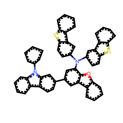 c1ccc(-n2c3ccccc3c3ccc(-c4cc(N(c5ccc6sc7ccccc7c6c5)c5ccc6sc7ccccc7c6c5)c5oc6ccccc6c5c4)cc32)cc1